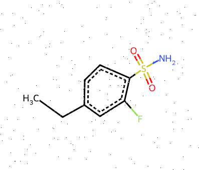 CCc1ccc(S(N)(=O)=O)c(F)c1